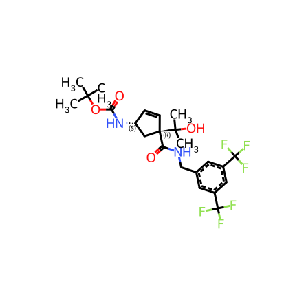 CC(C)(C)OC(=O)N[C@@H]1C=C[C@@](C(=O)NCc2cc(C(F)(F)F)cc(C(F)(F)F)c2)(C(C)(C)O)C1